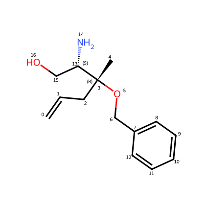 C=CC[C@@](C)(OCc1ccccc1)[C@@H](N)CO